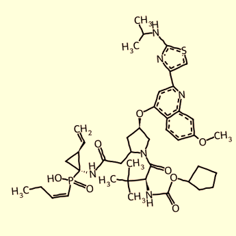 C=C[C@@H]1C[C@]1(NC(=O)CC1C[C@@H](Oc2cc(-c3csc(NC(C)C)n3)nc3cc(OC)ccc23)CN1C(=O)[C@@H](NC(=O)OC1CCCC1)C(C)(C)C)P(=O)(O)/C=C\CC